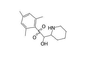 Cc1cc(C)c(S(=O)(=O)C(O)C2CCCCN2)c(C)c1